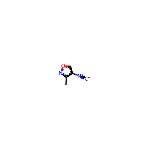 [C-]#[N+]c1conc1C